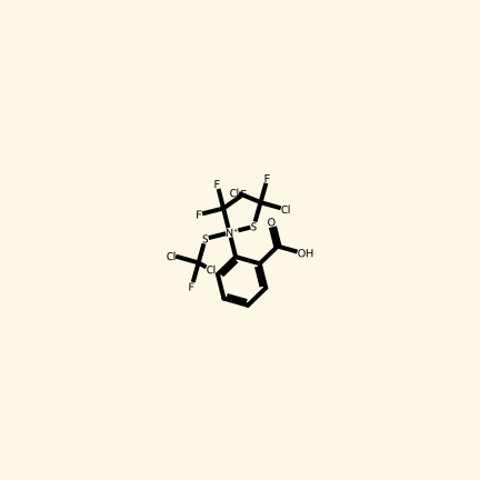 O=C(O)c1ccccc1[N+](SC(F)(Cl)Cl)(SC(F)(Cl)Cl)C(F)(F)F